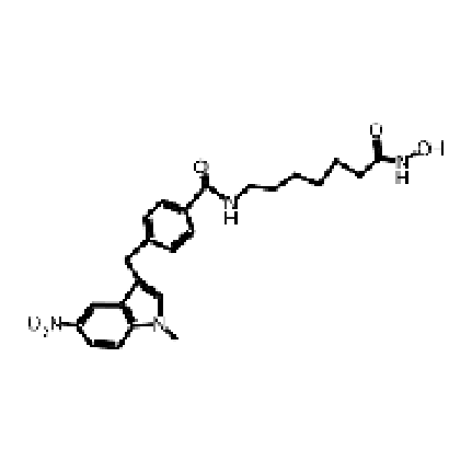 Cn1cc(Cc2ccc(C(=O)NCCCCCCC(=O)NO)cc2)c2cc([N+](=O)[O-])ccc21